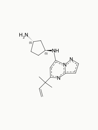 C=CC(C)(C)c1cc(N[C@H]2CC[C@H](N)C2)n2nccc2n1